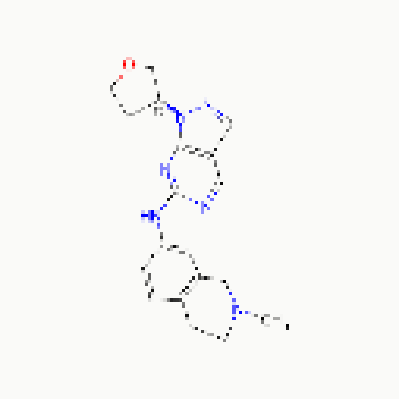 CN1CCc2ccc(Nc3ncc4cnn([C@H]5CCOC5)c4n3)cc2C1